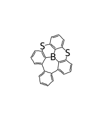 c1cc2c3c(c1)Sc1cccc4c1B3c1c(cccc1-c1ccccc1-4)S2